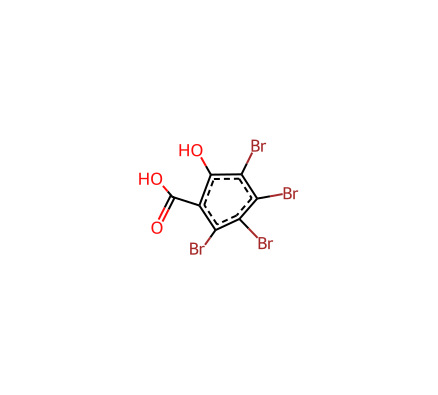 O=C(O)c1c(O)c(Br)c(Br)c(Br)c1Br